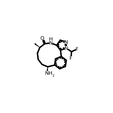 C[C@@H]1CCC[C@H](N)c2cccc(c2)-c2c(cnn2C(F)F)NC1=O